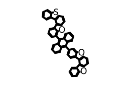 c1ccc2c(c1)oc1ccc3oc4cc(-c5c6ccccc6c(-c6cccc7c6oc6ccc8sc9ccccc9c8c67)c6ccccc56)ccc4c3c12